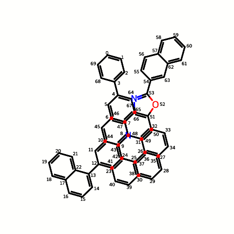 c1ccc(-c2ccc(N(c3ccc(-c4cccc5ccccc45)cc3-c3ccccc3)c3ccccc3-c3ccccc3-c3cccc4c3ccc3oc(-c5ccc6ccccc6c5)nc34)cc2)cc1